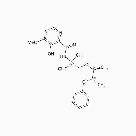 COc1ccnc(C(=O)N[C@](C)(C=O)CO[C@@H](C)[C@H](C)Oc2ccccc2)c1O